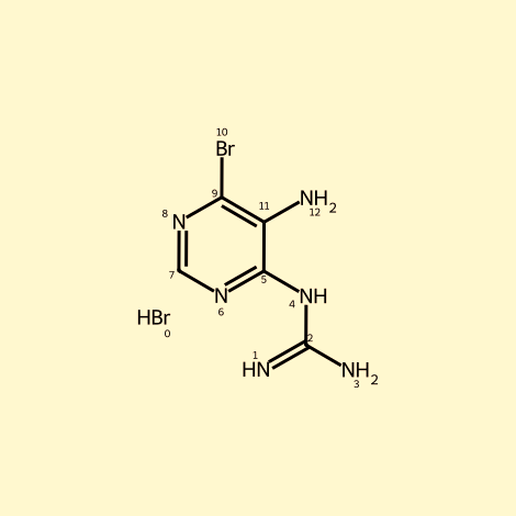 Br.N=C(N)Nc1ncnc(Br)c1N